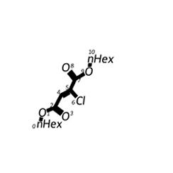 CCCCCCOC(=O)/C=C(\Cl)C(=O)OCCCCCC